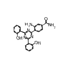 NC(=O)c1ccc(-c2nc(-c3ccccc3O)nc(-c3ccccc3O)n2)c(N)c1